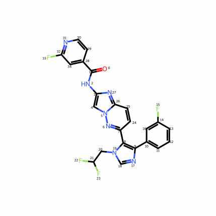 O=C(Nc1cn2nc(-c3c(-c4cccc(F)c4)ncn3CC(F)F)ccc2n1)c1ccnc(F)c1